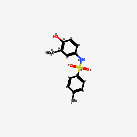 CC(C)(C)c1ccc(S(=O)(=O)Nc2ccc(O)c(C(=O)O)c2)cc1